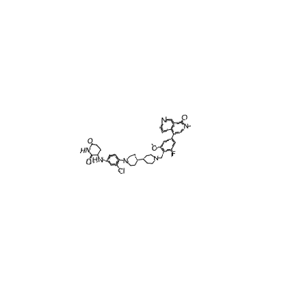 COc1cc(-c2cn(C)c(=O)c3cnccc23)cc(F)c1CN1CCC(C2CCN(c3ccc(NC4CCC(=O)NC4=O)cc3Cl)CC2)CC1